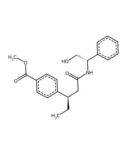 CC[C@H](CC(=O)N[C@H](CO)c1ccccc1)c1ccc(C(=O)OC)cc1